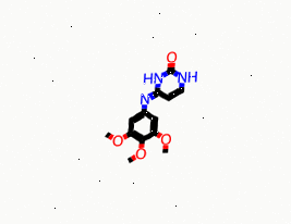 COc1cc(N=c2cc[nH]c(=O)[nH]2)cc(OC)c1OC